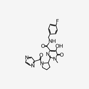 Cn1c(C2CCCN2C(=O)c2cnccn2)nc(C(=O)NCc2ccc(F)cc2)c(O)c1=O